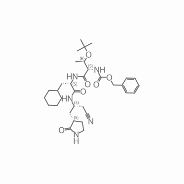 C[C@@H](OC(C)(C)C)[C@H](NC(=O)OCc1ccccc1)C(=O)N[C@@H](CC1CCCCC1)C(=O)N[C@H](CC#N)C[C@@H]1CCNC1=O